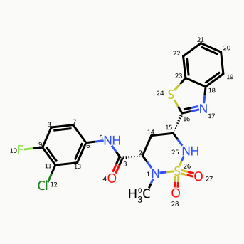 CN1[C@H](C(=O)Nc2ccc(F)c(Cl)c2)C[C@H](c2nc3ccccc3s2)NS1(=O)=O